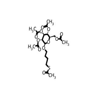 CC(=O)OC[C@H]1O[C@@H](OCCCCSC(C)=O)[C@H](OC(C)=O)[C@@H](OC(C)=O)[C@@H]1OC(C)=O